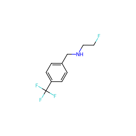 FCCNCc1ccc(C(F)(F)F)cc1